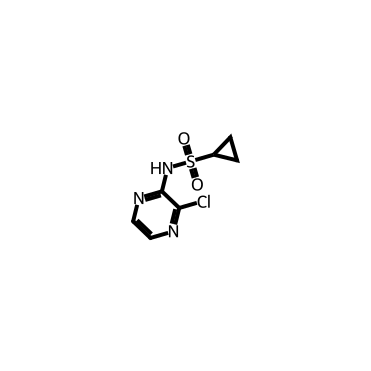 O=S(=O)(Nc1nccnc1Cl)C1CC1